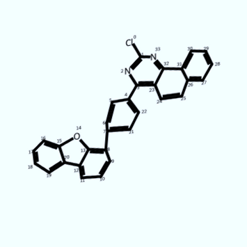 Clc1nc(-c2ccc(-c3cccc4c3oc3ccccc34)cc2)c2ccc3ccccc3c2n1